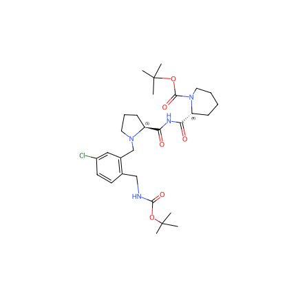 CC(C)(C)OC(=O)NCc1ccc(Cl)cc1CN1CCC[C@H]1C(=O)NC(=O)[C@H]1CCCCN1C(=O)OC(C)(C)C